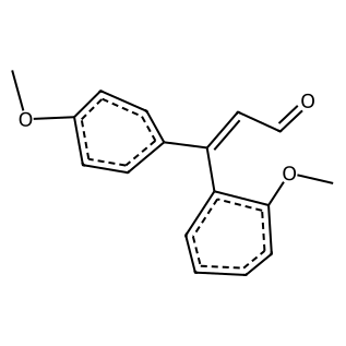 COc1ccc(/C(=C/C=O)c2ccccc2OC)cc1